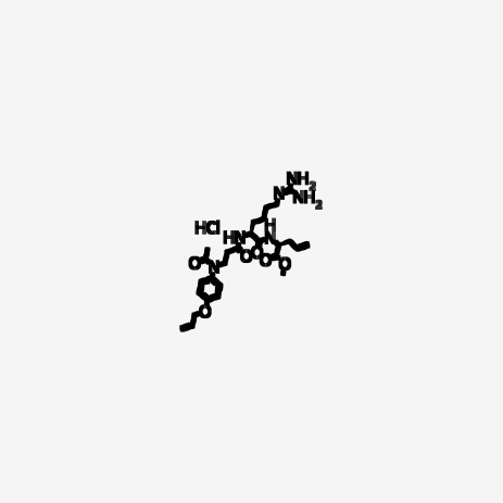 C=CCOc1ccc(N(CCC(=O)N[C@@H](CCCCN=C(N)N)C(=O)N[C@@H](CC=C)C(=O)OC)C(C)=O)cc1.Cl